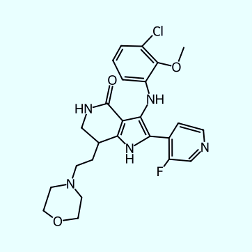 COc1c(Cl)cccc1Nc1c(-c2ccncc2F)[nH]c2c1C(=O)NCC2CCN1CCOCC1